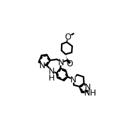 CO[C@H]1CC[C@H](C(=O)N2Cc3cccnc3Nc3ccc(N4CCc5n[nH]cc5C4)cc32)CC1